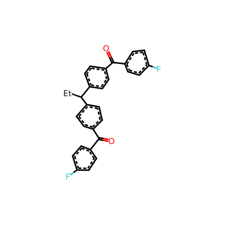 CCC(c1ccc(C(=O)c2ccc(F)cc2)cc1)c1ccc(C(=O)c2ccc(F)cc2)cc1